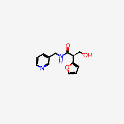 O=C(NCc1cccnc1)[C@@H](CO)c1ccco1